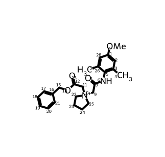 COc1cc(C)c(NC(=O)C[N+]2(CC(=O)OCc3ccccc3)CCCC2)c(C)c1